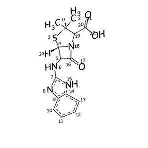 CC1(C)S[C@H]2C(Nc3nc4ccccc4[nH]3)C(=O)N2C1C(=O)O